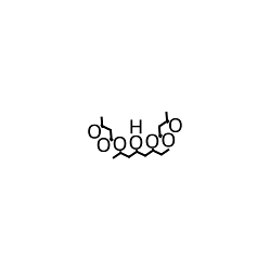 CCC(CC(O)CC(C)OC(=O)CC(C)=O)OC(=O)CC(C)=O